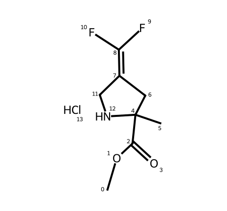 COC(=O)C1(C)CC(=C(F)F)CN1.Cl